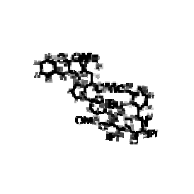 CC[C@H](C)[C@@H]([C@@H](CC(=O)N1CCC[C@H]1[C@H](OC)[C@@H](C)C(=O)N[C@@H](Cc1ccccc1)C(=O)OC)OC)N(C)C(=O)[C@@H](NC(=O)[C@H](C(C)C)N(C)Cc1ccnc(C)c1)C(C)C